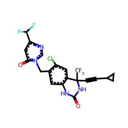 O=C1Nc2cc(Cn3cnc(C(F)F)cc3=O)c(Cl)cc2C(C#CC2CC2)(C(F)(F)F)N1